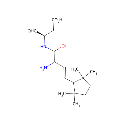 CC1(C)CCC(C)(C)C1C=CC(N)C(O)N[C@@H](C=O)CC(=O)O